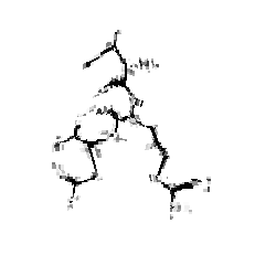 CC(C)[C@H](N)C(=O)N[C@@H](CCCNC(=N)N)C(=O)N[C@@H](CC(=O)O)C(=O)O